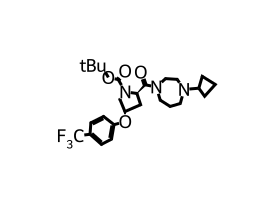 CC(C)(C)OC(=O)N1C[C@@H](Oc2ccc(C(F)(F)F)cc2)C[C@@H]1C(=O)N1CCCN(C2CCC2)CC1